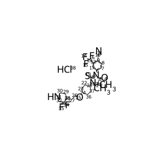 CC1(C)C(=O)N(c2ccc(C#N)c(C(F)(F)F)c2)C(=S)N1C1CCC(OCC[C@H]2CCNCC2(F)F)CC1.Cl